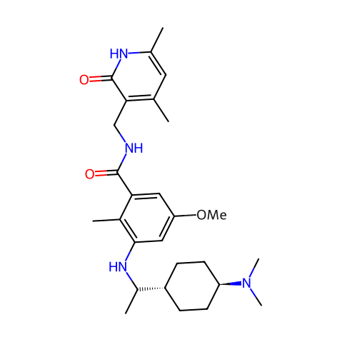 COc1cc(NC(C)[C@H]2CC[C@H](N(C)C)CC2)c(C)c(C(=O)NCc2c(C)cc(C)[nH]c2=O)c1